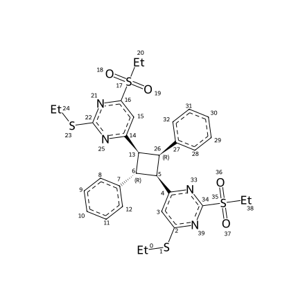 CCSc1cc([C@H]2[C@H](c3ccccc3)[C@@H](c3cc(S(=O)(=O)CC)nc(SCC)n3)[C@H]2c2ccccc2)nc(S(=O)(=O)CC)n1